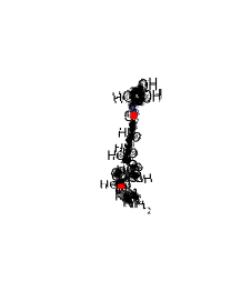 CC(C)(COP(=O)(O)OP(=O)(O)OC[C@H]1O[C@@H](n2cnc3c(N)ncnc32)[C@H](O)[C@@H]1OP(=O)(O)O)C(O)C(=O)NCCC(=O)NCCSC(=O)/C=C/c1cc(O)c(O)cc1O